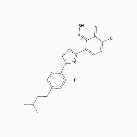 CC(C)CCc1ccc(-c2ccc(C3=CC=C(Cl)C(=N)/C3=N\S)s2)c(F)c1